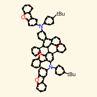 CC(C)(C)c1ccc(N(c2ccc3oc4ccccc4c3c2)c2ccc3c(-c4ccccc4)c(-c4c(-c5ccccc5)cc(N(c5ccc(C(C)(C)C)cc5)c5ccc6oc7ccccc7c6c5)c5c4oc4ccccc45)c4ccccc4c3c2)cc1